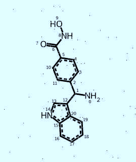 NC(c1ccc(C(=O)NO)cc1)c1c[nH]c2ccccc12